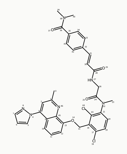 Cc1cc(-n2cccn2)c2cccc(OCc3c(Cl)ccc(N(C)C(=O)CNC(=O)C=Cc4ccc(C(=O)N(C)C)cc4)c3Cl)c2n1